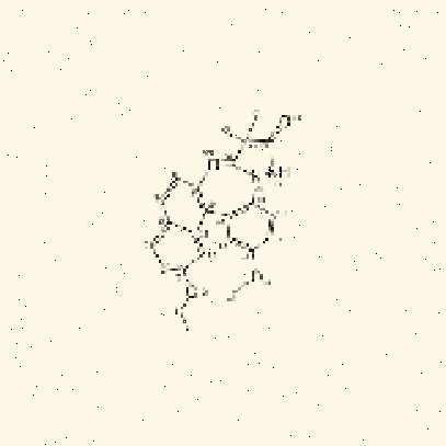 CCOc1ccc2ccc3c(c2c1)-c1cc(OC)ccc1N1NC(=O)C(C)(C)C1O3